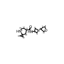 O=C(NC1CN([C@@H]2CCOC2)C1)C1CCNC2(CC2)C1